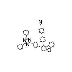 N#Cc1ccc(-c2ccc(-c3c(-c4ccc(-c5nc(-c6ccccc6)nc(-c6ccccc6)n5)cc4)ccc4oc5ccccc5c34)cc2)cc1